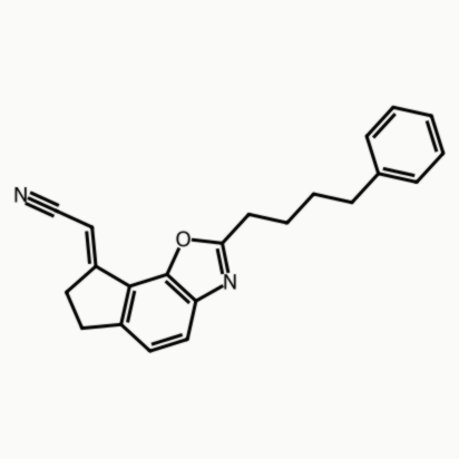 N#CC=C1CCc2ccc3nc(CCCCc4ccccc4)oc3c21